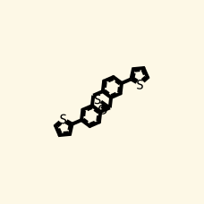 O=C1SC2c3cc(-c4cccs4)ccc3C1c1cc(-c3cccs3)ccc12